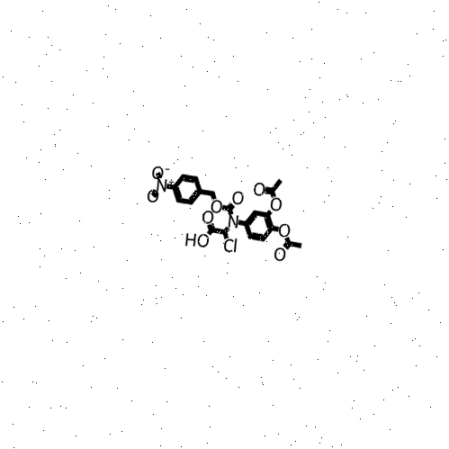 CC(=O)Oc1ccc(N(C(=O)OCc2ccc([N+](=O)[O-])cc2)C(Cl)C(=O)O)cc1OC(C)=O